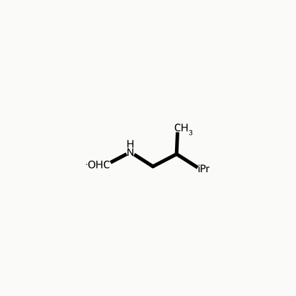 CC(C)C(C)CN[C]=O